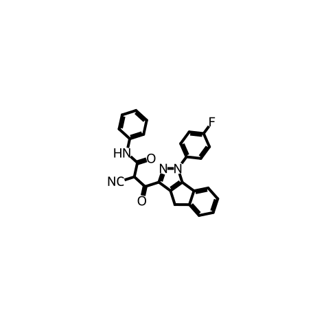 N#CC(C(=O)Nc1ccccc1)C(=O)c1nn(-c2ccc(F)cc2)c2c1Cc1ccccc1-2